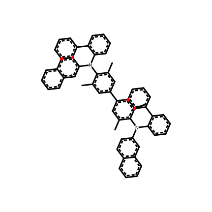 Cc1cc(-c2cc(C)c(N(c3ccc4ccccc4c3)c3ccccc3-c3ccccc3)c(C)c2)cc(C)c1N(c1ccc2ccccc2c1)c1ccccc1-c1ccccc1